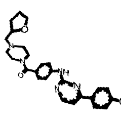 O=C(c1ccc(Nc2nccc(-c3ccc(Cl)cc3)n2)cc1)N1CCN(CC2CCCO2)CC1